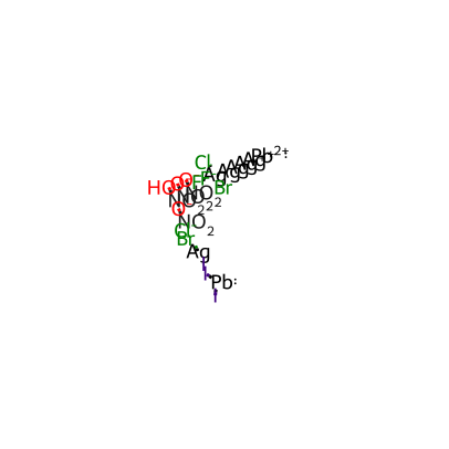 O=[N+]([O-])O.O=[N+]([O-])[O-].O=[N+]([O-])[O-].O=[N+]([O-])[O-].[Ag+].[Ag+].[Ag+].[Ag+].[Br][Ag][I].[Cl-].[Cl][Ag][Br].[F-].[F-].[I][Pb][I].[Pb+2]